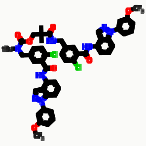 CC(C)(COC(=O)N(Cc1ccc(Cl)c(C(=O)Nc2cccc3c2cnn3-c2cccc(OC(F)(F)F)c2)c1)C(C)(C)C)C(=O)NCc1ccc(Cl)c(C(=O)Nc2cccc3c2cnn3-c2cccc(OC(F)(F)F)c2)c1